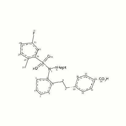 CCCCCCCN(c1ccccc1CCc1ccc(C(=O)O)cc1)S(=O)(=O)c1cc(F)ccc1C